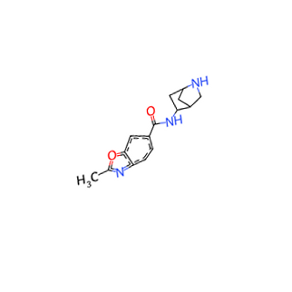 Cc1nc2ccc(C(=O)NC3CC4CC3CN4)cc2o1